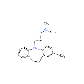 CN(C)CCCN1c2ccccc2CCc2cc([N+](=O)[O-])ccc21